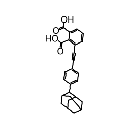 O=C(O)c1cccc(C#Cc2ccc(C3C4CC5CC(C4)CC3C5)cc2)c1C(=O)O